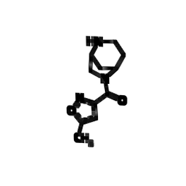 Cc1cc(C(=O)N2CC3CC2CCN3)no1